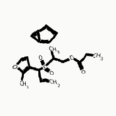 C=CC(c1ccoc1C)S(=O)(=O)C(C)COC(=O)CC.c1cc2cc-2c1